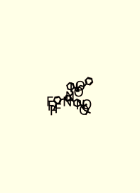 CC(C)(C)OC(=O)N1CCC(c2nc(-c3ccc(F)c(C(F)(F)F)c3)cn2CC2CCCCN2C(=O)OCc2ccccc2)CC1